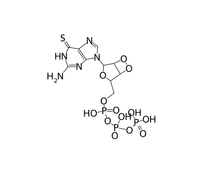 Nc1nc2c(ncn2C2OC(COP(=O)(O)OP(=O)(O)OP(=O)(O)O)C3OOC32)c(=S)[nH]1